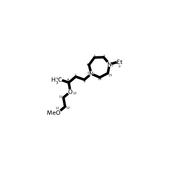 CCN1CCCN(CCC(C)OCCOC)CC1